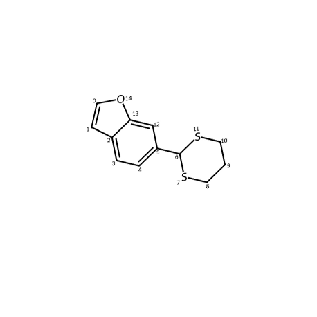 c1cc2ccc(C3SCCCS3)cc2o1